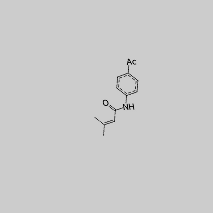 CC(=O)c1ccc(NC(=O)C=C(C)C)cc1